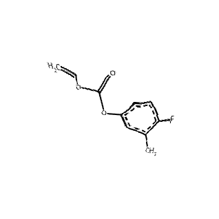 C=COC(=O)Oc1ccc(F)c(C)c1